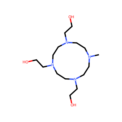 CN1CCN(CCO)CCN(CCO)CCN(CCO)CC1